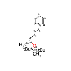 CC(CCCCc1ccccc1)O[Si](C)(C(C)(C)C)C(C)(C)C